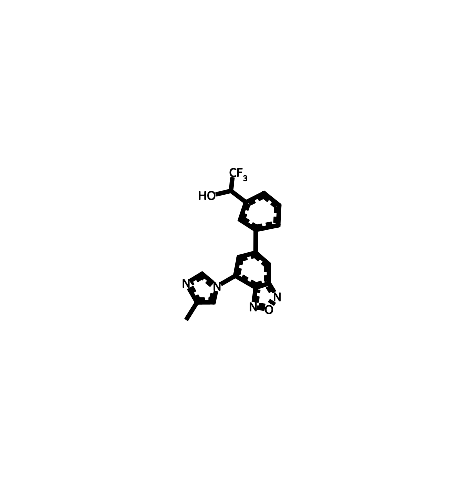 Cc1cn(-c2cc(-c3cccc(C(O)C(F)(F)F)c3)cc3nonc23)cn1